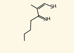 CCCCC(=N)/C(C)=C\S